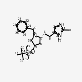 Cc1ncc(CC[C@@H]2C[C@@H](O[Si](C)(C)C(C)(C)C)CN2Cc2ccccc2)[nH]1